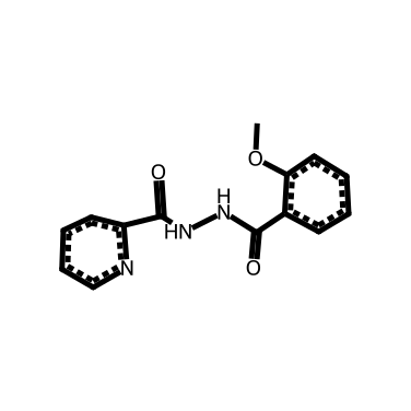 COc1ccccc1C(=O)NNC(=O)c1ccccn1